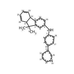 CC1(C)c2cc(Nc3ccc(-c4cccnc4)cc3)ccc2C2C=CC=CC21